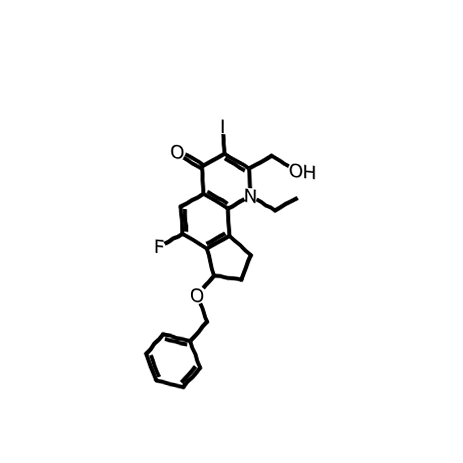 CCn1c(CO)c(I)c(=O)c2cc(F)c3c(c21)CCC3OCc1ccccc1